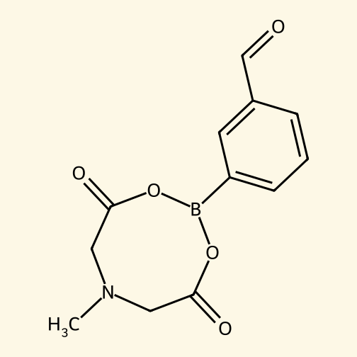 CN1CC(=O)OB(c2cccc(C=O)c2)OC(=O)C1